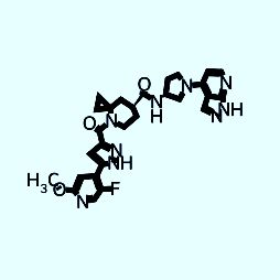 COc1cc(-c2cc(C(=O)N3CC[C@H](C(=O)N[C@@H]4CCN(c5ccnc6[nH]ncc56)C4)CC34CC4)n[nH]2)c(F)cn1